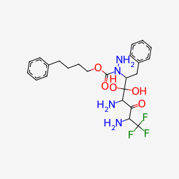 NC(C(=O)C(N)C(O)(O)C(Cc1ccccc1)N(N)C(=O)OCCCCc1ccccc1)C(F)(F)F